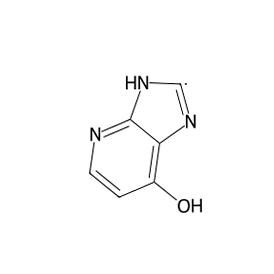 Oc1ccnc2[nH][c]nc12